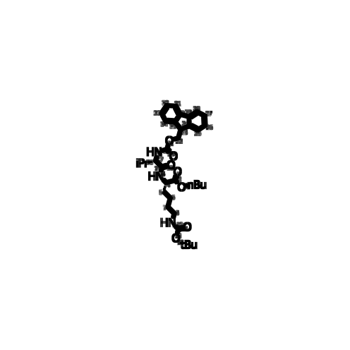 CCCCOC(=O)[C@H](CCCCNC(=O)OC(C)(C)C)NC(=O)[C@@H](NC(=O)OCC1c2ccccc2-c2ccccc21)C(C)C